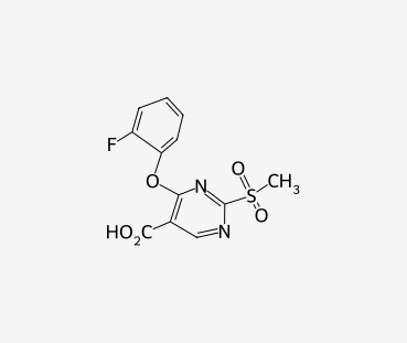 CS(=O)(=O)c1ncc(C(=O)O)c(Oc2ccccc2F)n1